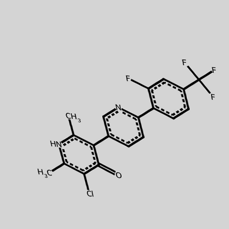 Cc1[nH]c(C)c(-c2ccc(-c3ccc(C(F)(F)F)cc3F)nc2)c(=O)c1Cl